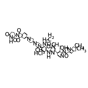 C=CC(=O)Nc1cc(Nc2nc(-c3ccnc(N4CCn5c(cc6c5CC(C)(C)C6)C4=O)c3CO)cn(C)c2=O)ccc1N1CCN(C2CCN(c3ccc4c(c3)C(=O)N(C3CCC(=O)NC3=O)C4=O)CC2)C[C@@H]1C.Cl